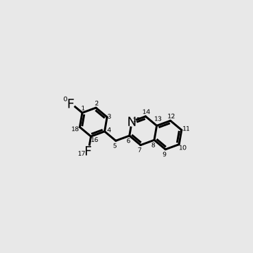 Fc1ccc(Cc2cc3ccccc3cn2)c(F)c1